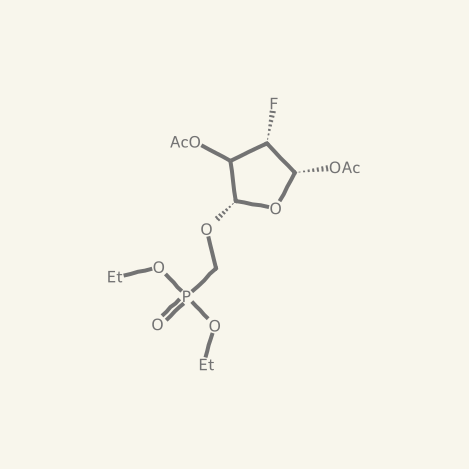 CCOP(=O)(CO[C@H]1O[C@@H](OC(C)=O)[C@@H](F)C1OC(C)=O)OCC